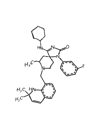 CC1CC2(CCN1Cc1cccc3c1NC(C)(C)C=C3)C(NC1CCCCC1)=NC(=O)N2c1cccc(F)c1